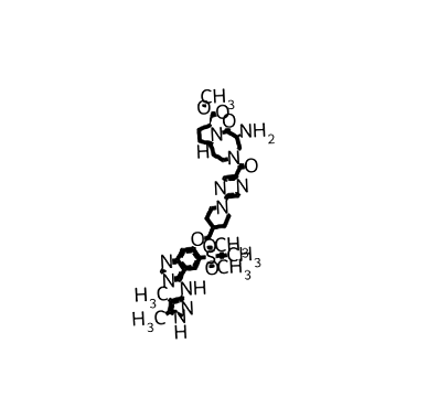 COC(=O)[C@@H]1CC[C@@H]2CCN(C(=O)c3cnc(N4CCC(COc5cc6ncnc(Nc7n[nH]c(C)c7C)c6cc5S(=O)(=O)C(C)(C)C)CC4)cn3)C[C@H](N)C(=O)N21